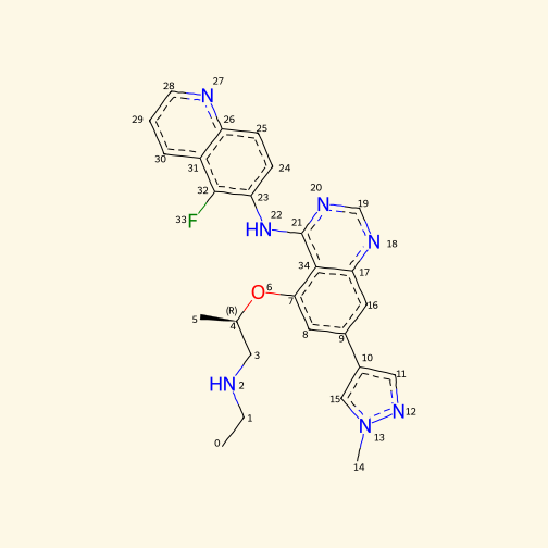 CCNC[C@@H](C)Oc1cc(-c2cnn(C)c2)cc2ncnc(Nc3ccc4ncccc4c3F)c12